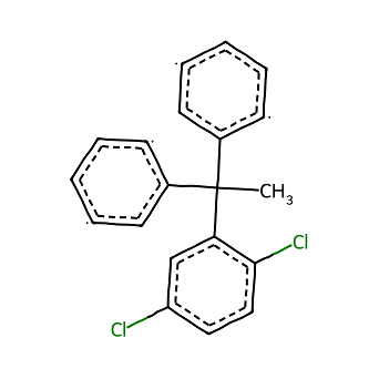 CC(c1[c]cc[c]c1)(c1[c]cc[c]c1)c1cc(Cl)ccc1Cl